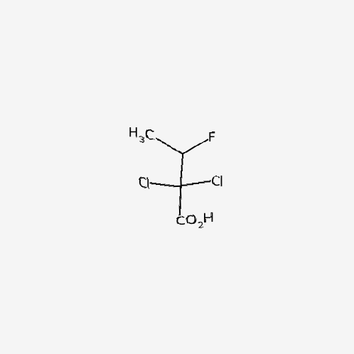 CC(F)C(Cl)(Cl)C(=O)O